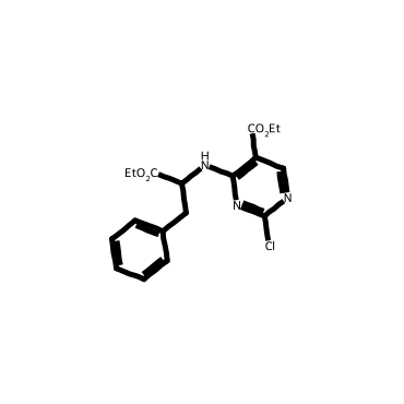 CCOC(=O)c1cnc(Cl)nc1NC(Cc1ccccc1)C(=O)OCC